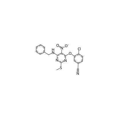 CSc1nc(NCc2ccccc2)c([N+](=O)[O-])c(Oc2cc(C#N)ccc2Cl)n1